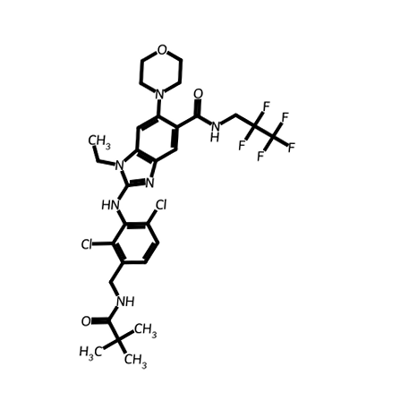 CCn1c(Nc2c(Cl)ccc(CNC(=O)C(C)(C)C)c2Cl)nc2cc(C(=O)NCC(F)(F)C(F)(F)F)c(N3CCOCC3)cc21